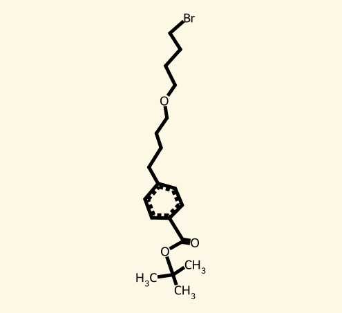 CC(C)(C)OC(=O)c1ccc(CCCCOCCCCBr)cc1